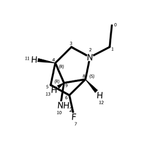 CCN1C[C@H]2CC(F)[C@@H]1[C@@H]2N